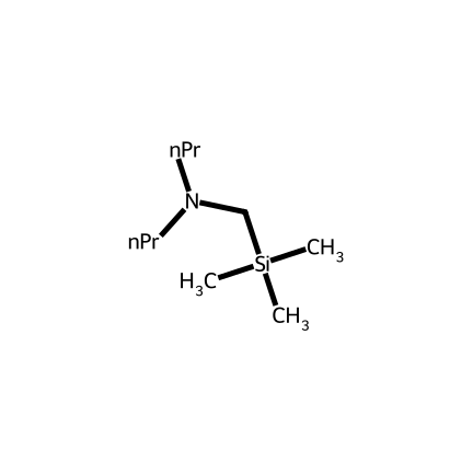 CCCN(CCC)C[Si](C)(C)C